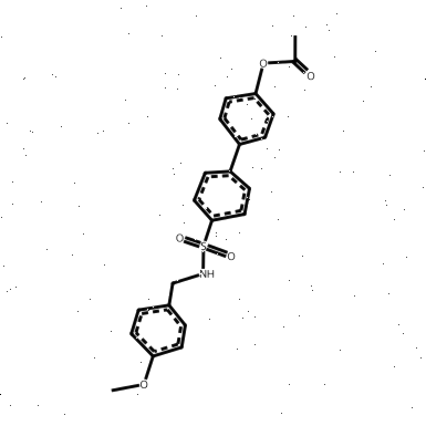 COc1ccc(CNS(=O)(=O)c2ccc(-c3ccc(OC(C)=O)cc3)cc2)cc1